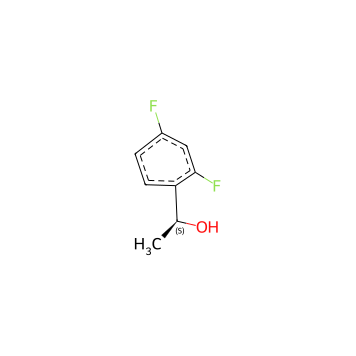 C[C@H](O)c1ccc(F)cc1F